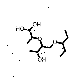 CCC(CC)OCC(OC(C)C(O)O)C(C)O